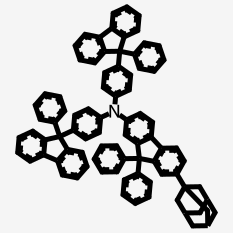 c1ccc(C2(c3ccc(N(c4ccc(C5(c6ccccc6)c6ccccc6-c6ccccc65)cc4)c4ccc5c(c4)C(c4ccccc4)(c4ccccc4)c4cc(C67CC8CC(CC(C8)C6)C7)ccc4-5)cc3)c3ccccc3-c3ccccc32)cc1